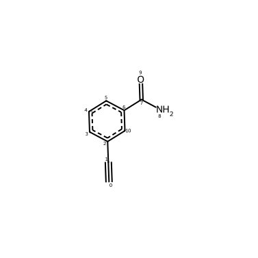 C#Cc1c[c]cc(C(N)=O)c1